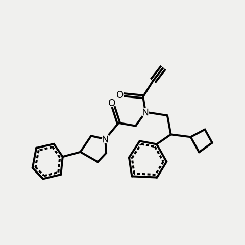 C#CC(=O)N(CC(=O)N1CCC(c2ccccc2)C1)CC(c1ccccc1)C1CCC1